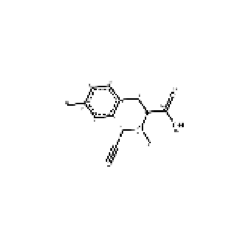 C#CCN(C)C(Cc1ccc(C)cc1)C(=O)O